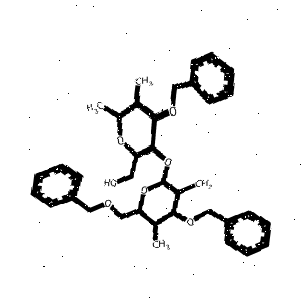 CC1OC(CO)C(OC2OC(COCc3ccccc3)C(C)C(OCc3ccccc3)C2C)C(OCc2ccccc2)C1C